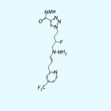 CNC(=O)c1cn(CCC(F)CN(N)/C=C/Cc2cc(C(F)(F)F)ccn2)nn1